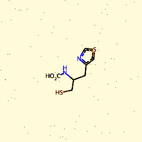 O=C(O)NC(CS)Cc1cscn1